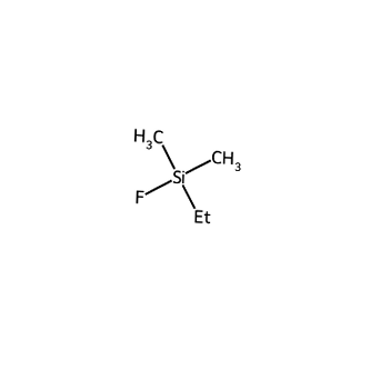 CC[Si](C)(C)F